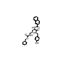 O=C(NCCCC(NC(=O)c1ccc2ccccc2c1)C(=O)NCc1ccc(O)cc1)OCc1ccccc1